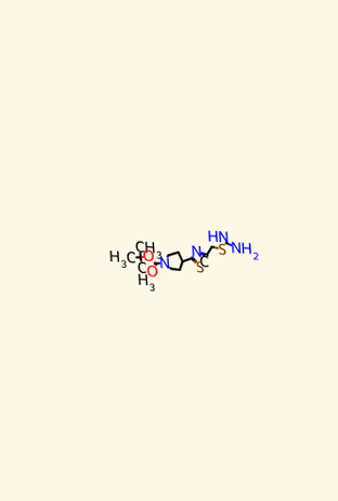 CC(C)(C)OC(=O)N1CCC(c2nc(CSC(=N)N)cs2)CC1